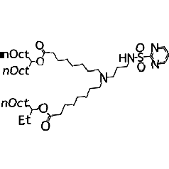 CCCCCCCCC(CC)OC(=O)CCCCCCCN(CCCCCCCC(=O)OC(CCCCCCCC)CCCCCCCC)CCCNS(=O)(=O)c1ncccn1